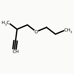 C#CC(C)CO[CH]CC